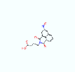 O=Nc1cc2c3c(cccc3c1)C(=O)N(CCCC(=O)O)C2=O